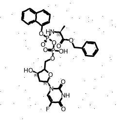 C[C@H](NP(=O)(Oc1cccc2ccccc12)OP(=O)(O)OCC1O[C@@H](n2cc(F)c(=O)[nH]c2=O)C[C@H]1O)C(=O)OCc1ccccc1